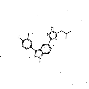 Cc1cc(-c2n[nH]c3ccc(-c4n[nH]c(CC(C)C)n4)cc23)ccc1F